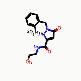 O=C(NCCO)c1cc(=O)n(Cc2ccccc2S(=O)(=O)O)[nH]1